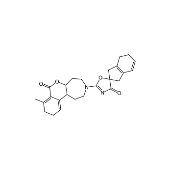 CC1=C2C(=O)OC3CCN(C4=NC(=O)C5(CC6=C(CCC=C6)C5)O4)CCC3C2=CCC1